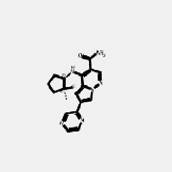 C[C@]1(F)CCC[C@H]1Nc1c(C(N)=O)cnn2cc(-c3cnccn3)cc12